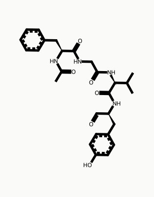 CC(=O)N[C@@H](Cc1ccccc1)C(=O)NCC(=O)N[C@H](C(=O)N[C@H](C=O)Cc1ccc(O)cc1)C(C)C